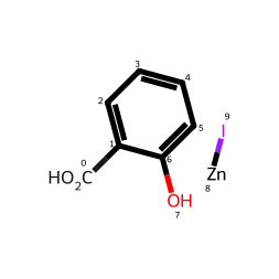 O=C(O)c1ccccc1O.[Zn][I]